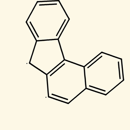 [c]1cc2ccccc2c2c1[CH]c1ccccc1-2